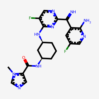 Cn1cncc1C(=O)N[C@@H]1CCC[C@H](Nc2nc(C(=N)c3cc(F)cnc3N)ncc2F)C1